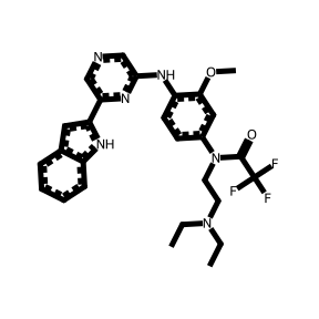 CCN(CC)CCN(C(=O)C(F)(F)F)c1ccc(Nc2cncc(-c3cc4ccccc4[nH]3)n2)c(OC)c1